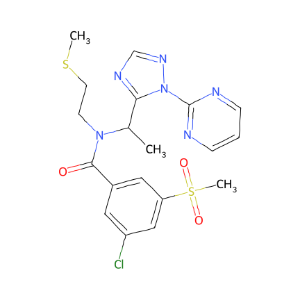 CSCCN(C(=O)c1cc(Cl)cc(S(C)(=O)=O)c1)C(C)c1ncnn1-c1ncccn1